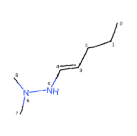 CCCC=CNN(C)C